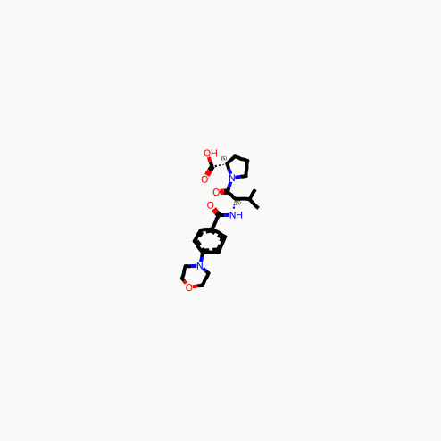 CC(C)[C@H](NC(=O)c1ccc(N2CCOCC2)cc1)C(=O)N1CCC[C@H]1C(=O)O